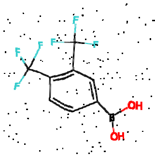 OB(O)c1ccc(C(F)(F)F)c(C(F)(F)F)c1